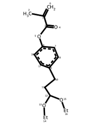 C=C(C)C(=O)Oc1ccc(CCC(OCC)OCC)cc1